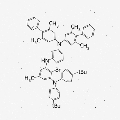 Cc1cc(Nc2cccc(N(c3cc(C)c(-c4ccccc4)c(C)c3)c3cc(C)c(-c4ccccc4)c(C)c3)c2)c(Br)c(N(c2ccc(C(C)(C)C)cc2)c2ccc(C(C)(C)C)cc2)c1